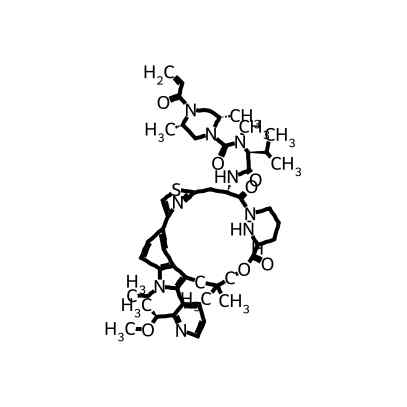 C=CC(=O)N1C[C@H](C)N(C(=O)N(C)[C@H](C(=O)N[C@H]2Cc3nc(cs3)-c3ccc4c(c3)c(c(-c3cccnc3[C@H](C)OC)n4CC)CC(C)(C)COC(=O)[C@@H]3CCCN(N3)C2=O)C(C)C)C[C@@H]1C